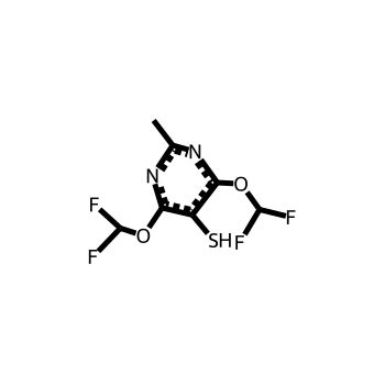 Cc1nc(OC(F)F)c(S)c(OC(F)F)n1